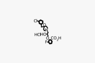 Cl.O=C(O)c1cccc(F)c1OC[C@@H](O)CN1CCC2(CC1)Cc1cc(Cl)ccc1O2